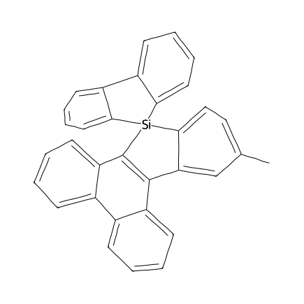 Cc1ccc2c(c1)-c1c(c3ccccc3c3ccccc13)[Si]21c2ccccc2-c2ccccc21